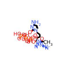 CC(N=[N+]=[N-])(N=[N+]=[N-])OC1C[C@H](n2ccc(N)nc2=O)O[C@@H]1COP(=O)(O)OP(=O)(O)OP(=O)(O)O